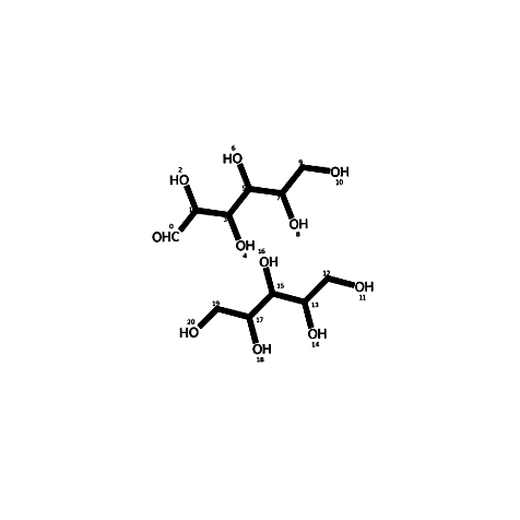 O=CC(O)C(O)C(O)C(O)CO.OCC(O)C(O)C(O)CO